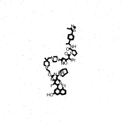 CCc1cccc2cc(O)cc(-c3ncc4c(N5CC6CCC(C5)N6)nc(OCCN5CCC(C)(CN6CCN(c7cc(C(C(=O)N8CCCC8C(=O)NC(C)c8ccc(-c9scnc9C)cc8)C(C)C)on7)CC6)CC5)nc4c3F)c12